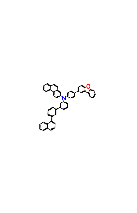 c1cc(-c2cccc(N(c3ccc(-c4ccc5oc6ccccc6c5c4)cc3)c3ccc4c(ccc5ccccc54)c3)c2)cc(-c2cccc3ccccc23)c1